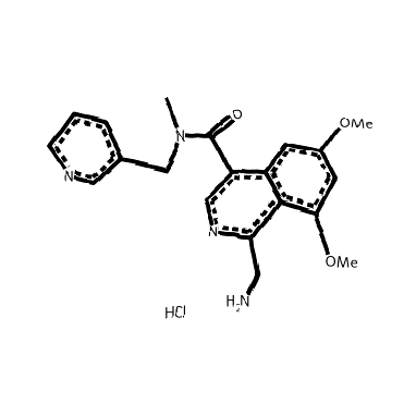 COc1cc(OC)c2c(CN)ncc(C(=O)N(C)Cc3cccnc3)c2c1.Cl